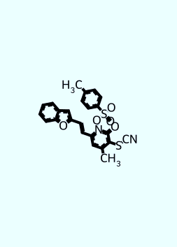 Cc1ccc(S(=O)(=O)On2c(C=Cc3cc4ccccc4o3)cc(C)c(SC#N)c2=O)cc1